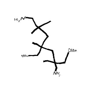 COCC(C)(N)CC(C)(CC(C)(C)C)CC(C)(C)CN